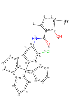 Cc1ccc(C(C)C)c(O)c1C(=O)Nc1ccc(C(c2ccccc2)(c2ccccc2)c2ccccc2)cc1Cl